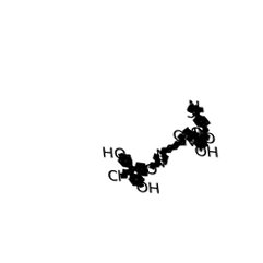 Cc1ncsc1-c1ccc(CNC(=O)[C@@H]2C[C@@H](O)CN2C(=O)C(NC(=O)CCCCCCN2CCN(CCOc3ccc(C(=C(CCCl)c4ccc(O)cc4)c4ccc(O)cc4)cc3)CC2)C(C)(C)C)cc1